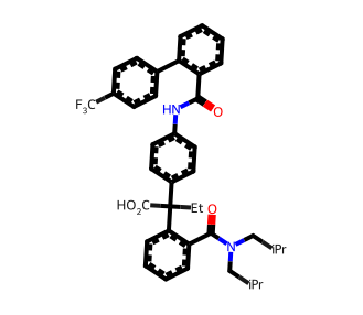 CCC(C(=O)O)(c1ccc(NC(=O)c2ccccc2-c2ccc(C(F)(F)F)cc2)cc1)c1ccccc1C(=O)N(CC(C)C)CC(C)C